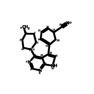 CC1CCN(c2ncnc3[nH]cc(C4=CC=CC(C#N)C4)c23)CC1